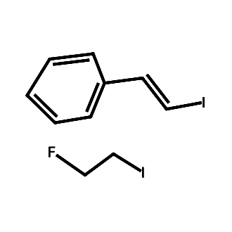 FCCI.IC=Cc1ccccc1